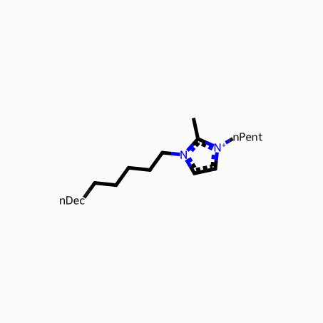 CCCCCCCCCCCCCCCn1cc[n+](CCCCC)c1C